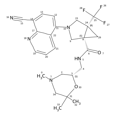 CN1C[C@H](CNC(=O)[C@]23CN(c4ccc(C#N)c5ncccc45)C[C@@]2(C(F)(F)F)C3)OC(C)(C)C1